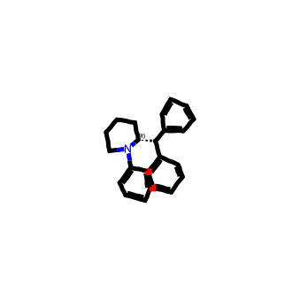 c1ccc(C(c2ccccc2)[C@H]2CCCCN2c2ccccc2)cc1